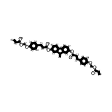 C=CC(=O)OCOc1ccc(/C=C/C(=O)Oc2ccc3c(c2)C(C)c2cc(OC(=O)/C=C/c4ccc(OCOC(=O)C=C)cc4)ccc2-3)cc1